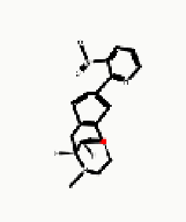 CN1CC[C@]23CCCC[C@H]2[C@H]1Cc1ccc(-c2ncccc2[N+](=O)[O-])cc13